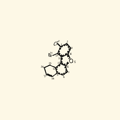 Clc1ccc2oc3ccc4c(c3c2c1Br)CCC=C4